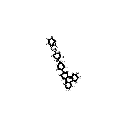 C1=CB2SB(c3ccc(-c4ccc(-c5ccc6c7ccccc7c7ccccc7c6c5)cc4)cc3)SN2C=C1